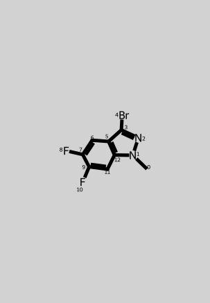 Cn1nc(Br)c2cc(F)c(F)cc21